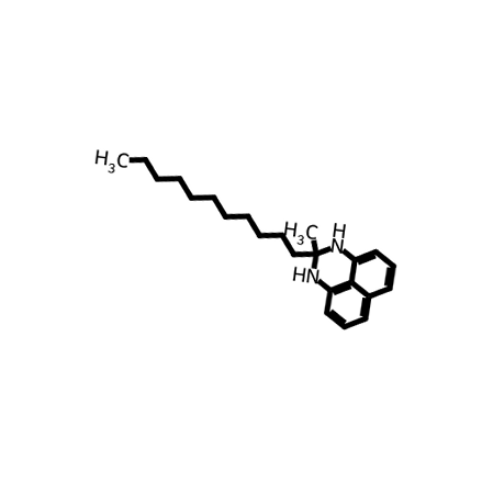 CCCCCCCCCCCC1(C)Nc2cccc3cccc(c23)N1